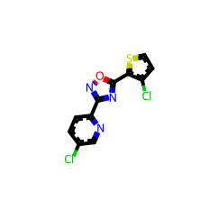 Clc1ccc(-c2noc(-c3sccc3Cl)n2)nc1